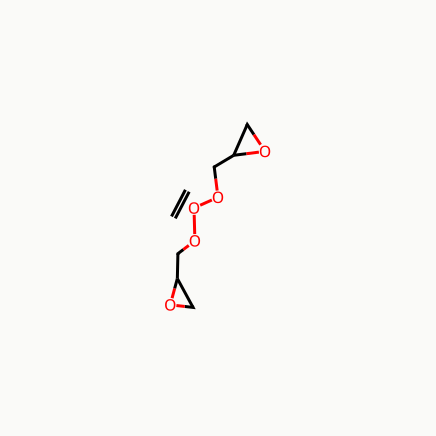 C(OOOCC1CO1)C1CO1.C=C